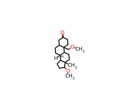 COCC12CCC(=O)CC1CC[C@H]1C3CCC(OC)C3(C)CCC12